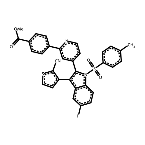 COC(=O)c1ccc(-c2cc(-c3c(-c4ccsc4C#N)c4cc(F)ccc4n3S(=O)(=O)c3ccc(C)cc3)ccn2)cc1